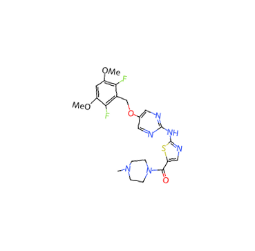 COc1cc(OC)c(F)c(COc2cnc(Nc3ncc(C(=O)N4CCN(C)CC4)s3)nc2)c1F